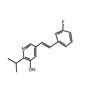 CC(C)c1ncc(C=Cc2cccc(F)c2)cc1O